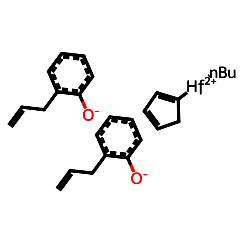 C=CCc1ccccc1[O-].C=CCc1ccccc1[O-].CCC[CH2][Hf+2][C]1=CC=CC1